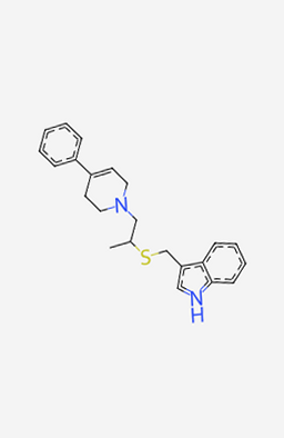 CC(CN1CC=C(c2ccccc2)CC1)SCc1c[nH]c2ccccc12